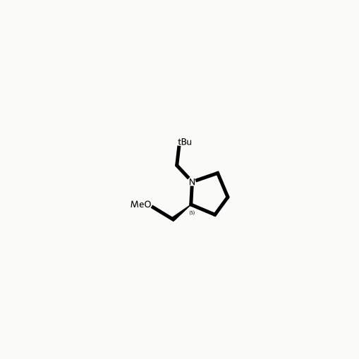 COC[C@@H]1CCCN1CC(C)(C)C